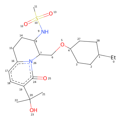 CCC1CCC(OCC2C(NS(C)(=O)=O)CCc3ccc(C(C)(C)O)c(=O)n32)CC1